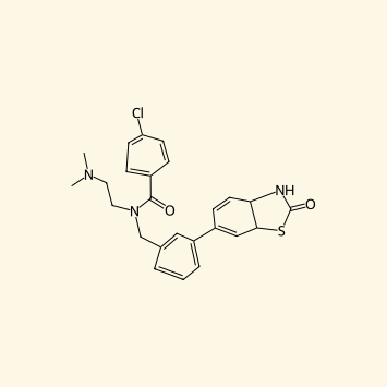 CN(C)CCN(Cc1cccc(C2=CC3SC(=O)NC3C=C2)c1)C(=O)c1ccc(Cl)cc1